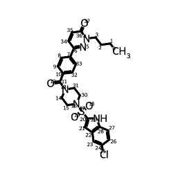 CCCCn1nc(-c2ccc(C(=O)N3CCN(S(=O)(=O)c4cc5cc(Cl)ccc5[nH]4)CC3)cc2)ccc1=O